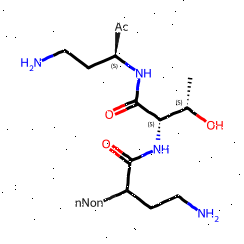 CCCCCCCCCC(CCN)C(=O)N[C@H](C(=O)N[C@@H](CCN)C(C)=O)[C@H](C)O